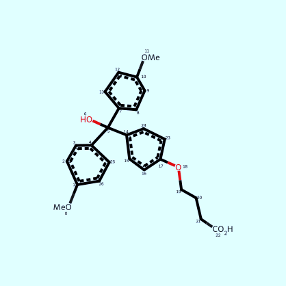 COc1ccc(C(O)(c2ccc(OC)cc2)c2ccc(OCCCC(=O)O)cc2)cc1